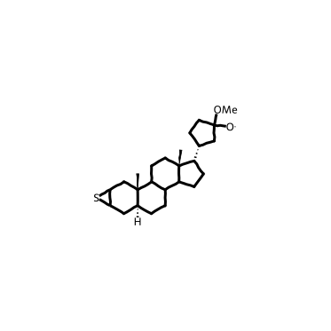 COC1([O])CC[C@@H](C2CCC3C4CC[C@H]5CC6SC6C[C@]5(C)C4CC[C@@]32C)C1